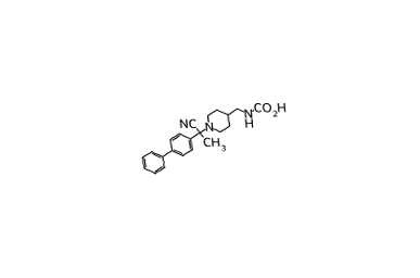 CC(C#N)(c1ccc(-c2ccccc2)cc1)N1CCC(CNC(=O)O)CC1